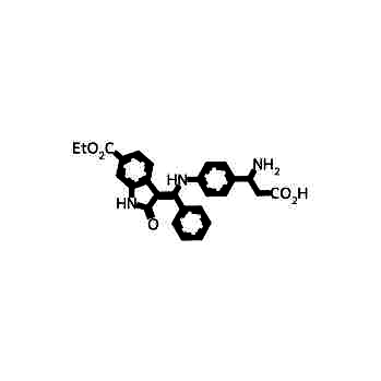 CCOC(=O)c1ccc2c(c1)NC(=O)C2=C(Nc1ccc(C(N)CC(=O)O)cc1)c1ccccc1